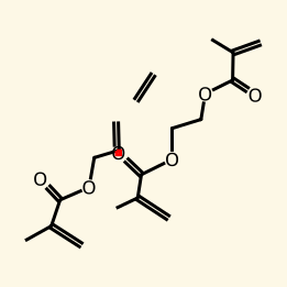 C=C.C=C(C)C(=O)OCCOC(=O)C(=C)C.C=CCOC(=O)C(=C)C